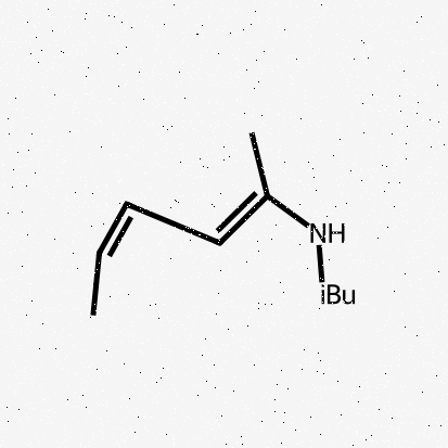 C/C=C\C=C(/C)NC(C)CC